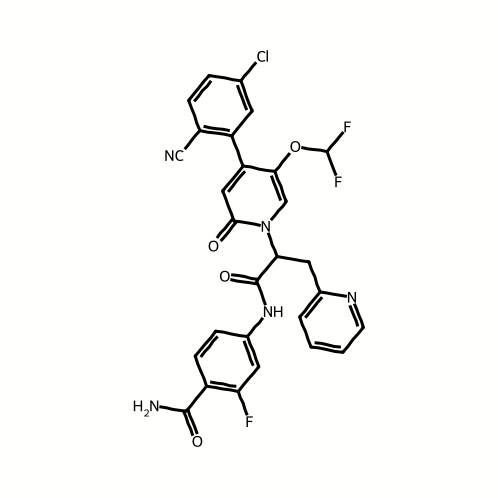 N#Cc1ccc(Cl)cc1-c1cc(=O)n(C(Cc2ccccn2)C(=O)Nc2ccc(C(N)=O)c(F)c2)cc1OC(F)F